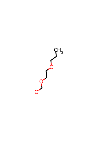 CCCOCCOC[O]